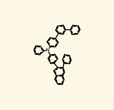 c1ccc(-c2cccc(-c3ccc(N(c4ccccc4)c4ccc(-c5cc6ccccc6cc5-c5ccccc5)cc4)cc3)c2)cc1